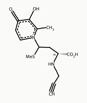 C#CCN[C@H](CC(SC)n1ccc(=O)c(O)c1C)C(=O)O